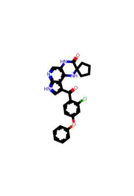 O=C(c1ccc(Oc2ccccc2)cc1Cl)c1c[nH]c2ncc3c(c12)NC1(CCCC1)C(=O)N3